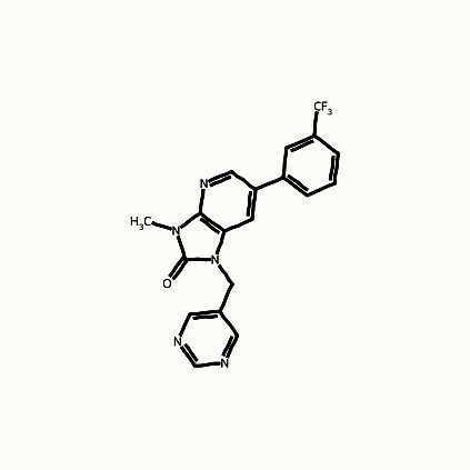 Cn1c(=O)n(Cc2cncnc2)c2cc(-c3cccc(C(F)(F)F)c3)cnc21